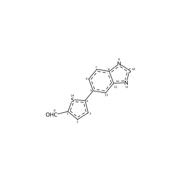 O=Cc1ccc(-c2ccc3nsnc3c2)s1